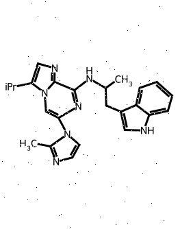 Cc1nccn1-c1cn2c(C(C)C)cnc2c(NC(C)Cc2c[nH]c3ccccc23)n1